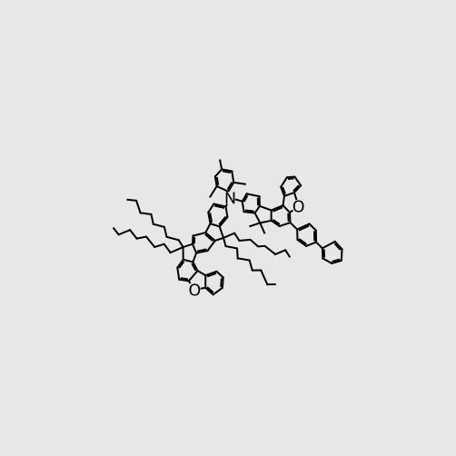 CCCCCCCCC1(CCCCCCCC)c2cc(N(c3ccc4c(c3)C(C)(C)c3cc(-c5ccc(-c6ccccc6)cc5)c5oc6ccccc6c5c3-4)c3c(C)cc(C)cc3C)ccc2-c2cc3c(cc21)-c1c(ccc2oc4ccccc4c12)C3(CCCCCCCC)CCCCCCCC